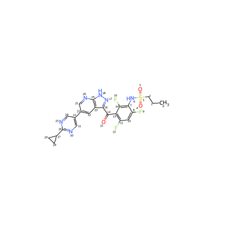 CCCS(=O)(=O)Nc1c(F)cc(F)c(C(=O)c2n[nH]c3ncc(-c4cnc(C5CC5)nc4)cc23)c1F